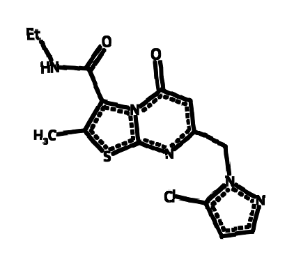 CCNC(=O)c1c(C)sc2nc(Cn3nccc3Cl)cc(=O)n12